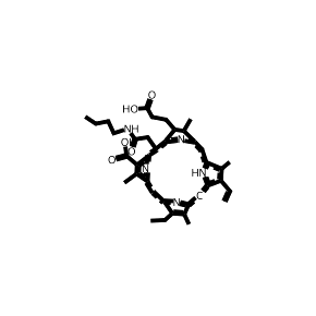 C=Cc1c(C)c2cc3nc(c(CC(=O)NCCCC)c4[nH]c(cc5nc(cc1[nH]2)C(C)=C5CC)c(C)c4C(=O)O)C(CCC(=O)O)C3C